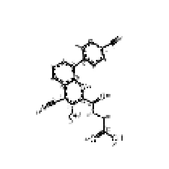 N#Cc1ccc(-c2cccc3c(C#N)c(O)c(C(=O)CCC(=O)O)nc23)cc1